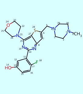 CN1CCN(Cc2cc3nc(-c4cc(O)ccc4F)nc(N4CCOCC4)c3s2)CC1